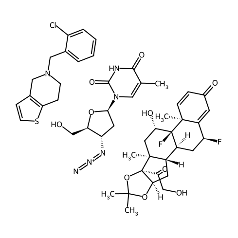 CC1(C)O[C@@H]2C[C@H]3[C@@H]4C[C@H](F)C5=CC(=O)C=C[C@]5(C)[C@@]4(F)[C@@H](O)C[C@]3(C)[C@]2(C(=O)CO)O1.Cc1cn([C@H]2C[C@H](N=[N+]=[N-])[C@@H](CO)O2)c(=O)[nH]c1=O.Clc1ccccc1CN1CCc2sccc2C1